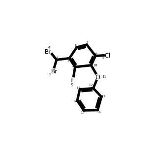 Fc1c(C(Br)Br)ccc(Cl)c1Oc1ccccc1